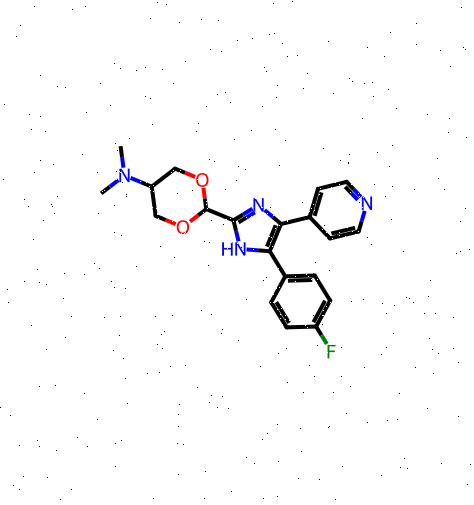 CN(C)C1COC(c2nc(-c3ccncc3)c(-c3ccc(F)cc3)[nH]2)OC1